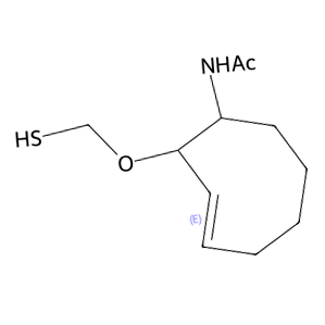 CC(=O)NC1CCCC/C=C/C1OCS